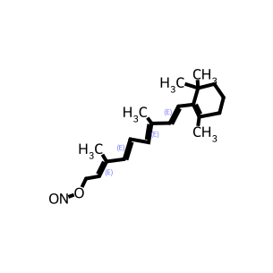 CC1=C(/C=C/C(C)=C/C=C/C(C)=C/CON=O)C(C)(C)CCC1